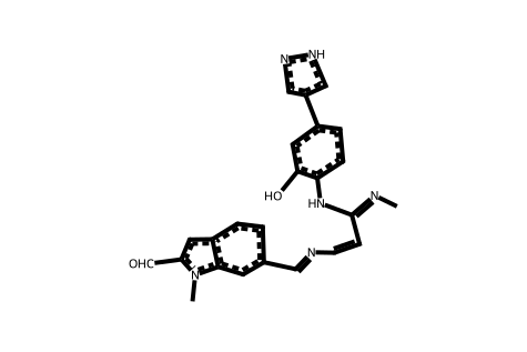 C\N=C(/C=C\N=C\c1ccc2cc(C=O)n(C)c2c1)Nc1ccc(-c2cn[nH]c2)cc1O